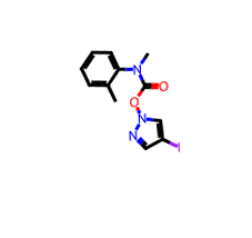 Cc1ccccc1N(C)C(=O)On1cc(I)cn1